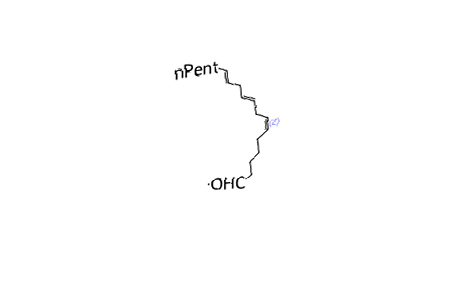 CCCCCC=CCC=CC/C=C\CCCC[C]=O